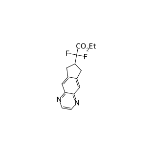 CCOC(=O)C(F)(F)C1Cc2cc3nccnc3cc2C1